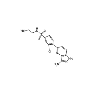 Nc1n[nH]c2ccc(-c3ccc(S(=O)(=O)NCCO)cc3Cl)nc12